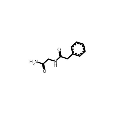 NC(=O)CNC(=O)Cc1ccccc1